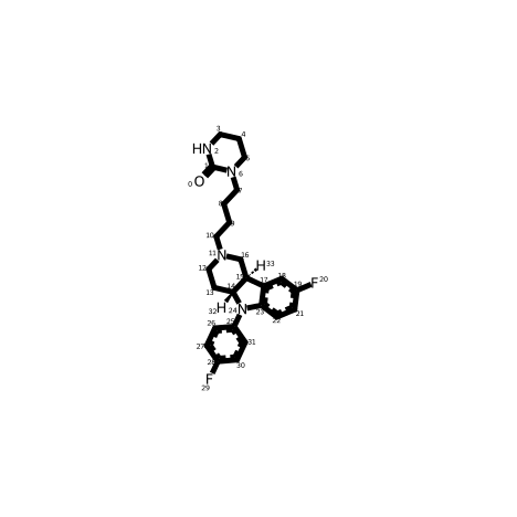 O=C1NCCCN1CCCCN1CC[C@@H]2[C@@H](C1)c1cc(F)ccc1N2c1ccc(F)cc1